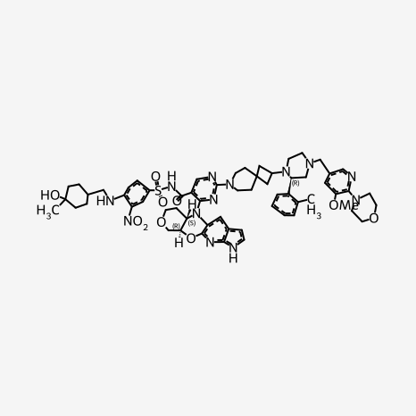 COc1cc(CN2CCN(C3CC4(CCN(c5ncc(C(=O)NS(=O)(=O)c6ccc(NCC7CCC(C)(O)CC7)c([N+](=O)[O-])c6)c(N6c7cc8cc[nH]c8nc7O[C@H]7COCC[C@@H]76)n5)CC4)C3)[C@H](c3ccccc3C)C2)cnc1N1CCOCC1